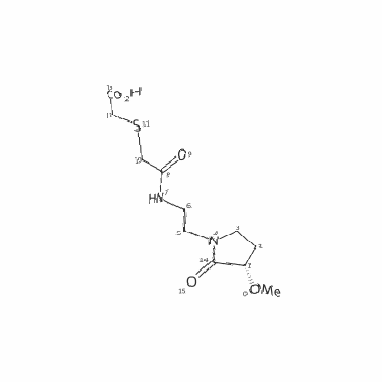 CO[C@H]1CCN(CCNC(=O)CSCC(=O)O)C1=O